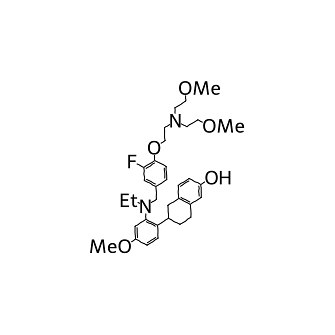 CCN(Cc1ccc(OCCN(CCOC)CCOC)c(F)c1)c1cc(OC)ccc1C1CCc2cc(O)ccc2C1